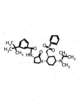 CC(C)N(C)[C@@H]1CC[C@H](N2CC[C@H](NC(=O)c3cccc(C(C)(C)C)c3)C2=O)[C@@H](CS(=O)(=O)c2ccccc2)C1